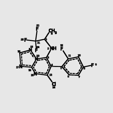 CC(Nc1c(-c2ccc(F)cc2F)c(Cl)nc2ncnn12)C(F)(F)F